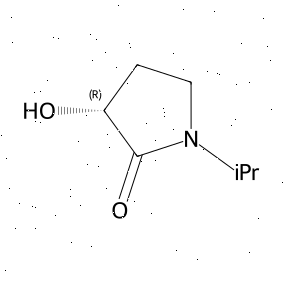 CC(C)N1CC[C@@H](O)C1=O